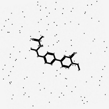 CCn1ccc(-c2ccc(CC(C)NC(C)=O)cc2)cc1=O